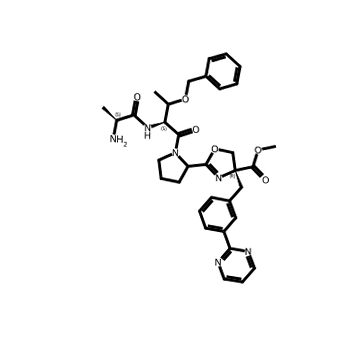 COC(=O)[C@@]1(Cc2cccc(-c3ncccn3)c2)COC(C2CCCN2C(=O)[C@@H](NC(=O)[C@H](C)N)C(C)OCc2ccccc2)=N1